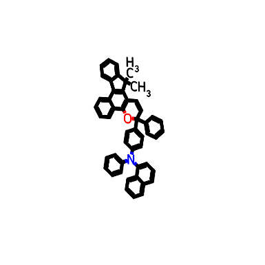 CC1(C)c2ccccc2-c2c1c1c(c3ccccc23)OC(c2ccccc2)(c2ccc(N(c3ccccc3)c3cccc4ccccc34)cc2)C=C1